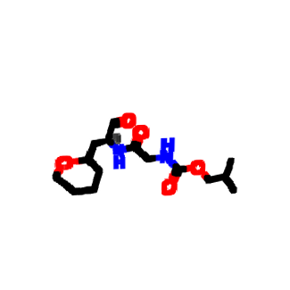 CC(C)COC(=O)NCC(=O)N[C@H](C=O)CC1CCCCO1